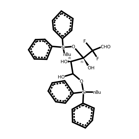 CCCC[Si](OC(O)[C@@H](O)[C@](O)(O[Si](CCCC)(c1ccccc1)c1ccccc1)C(F)(F)C=O)(c1ccccc1)c1ccccc1